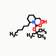 CCCCCC1CCCC(CO)N1C(=O)OC(C)(C)C